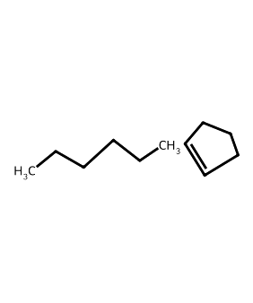 C1=CCCC1.CCCCCC